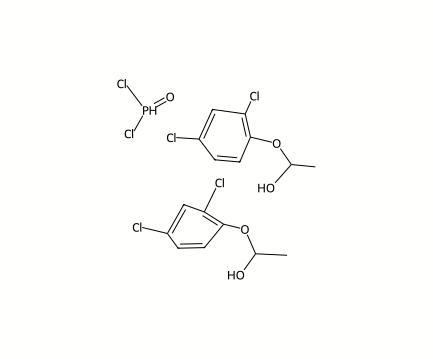 CC(O)Oc1ccc(Cl)cc1Cl.CC(O)Oc1ccc(Cl)cc1Cl.O=[PH](Cl)Cl